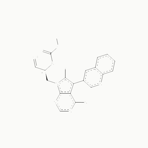 C=C[C@H](Cn1c(Br)c(-c2cnc3ccccc3c2)c2c(N)ncnc21)NC(=O)OC(C)(C)C